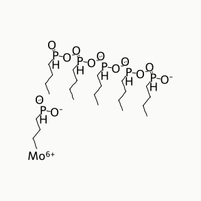 CCCC[PH](=O)[O-].CCCC[PH](=O)[O-].CCCC[PH](=O)[O-].CCCC[PH](=O)[O-].CCCC[PH](=O)[O-].CCCC[PH](=O)[O-].[Mo+6]